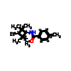 CC[C@H]1C(C)(C)[C@H](NC(=O)c2ccc(C)cc2)C1(C)C